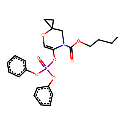 CCCCOC(=O)N1CC2(CC2)OC=C1OP(=O)(Oc1ccccc1)Oc1ccccc1